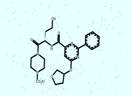 CCOC(=O)N1CCN(C(=O)[C@H](CCC#N)NC(=O)c2cc(OC3CCOC3)nc(-c3ccccc3)n2)CC1